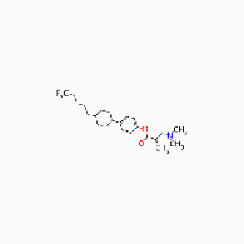 C=C(CN(C)C)C(=O)Oc1ccc(C2CCC(CCCCC(F)(F)F)CC2)cc1